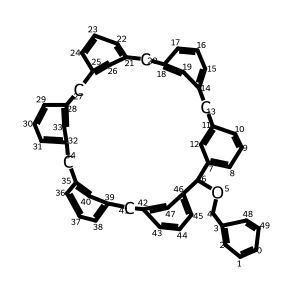 c1ccc(COC2c3cccc(c3)Cc3cccc(c3)Cc3cccc(c3)Cc3cccc(c3)Cc3cccc(c3)Cc3cccc2c3)cc1